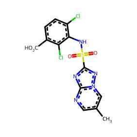 Cc1cnc2nc(S(=O)(=O)Nc3c(Cl)ccc(C(=O)O)c3Cl)nn2c1